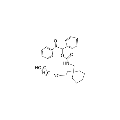 CC(=O)O.N#CCCC1(CNC(=O)OC(C(=O)c2ccccc2)c2ccccc2)CCCCC1